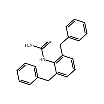 NC(=S)Nc1c(Cc2ccccc2)cccc1Cc1ccccc1